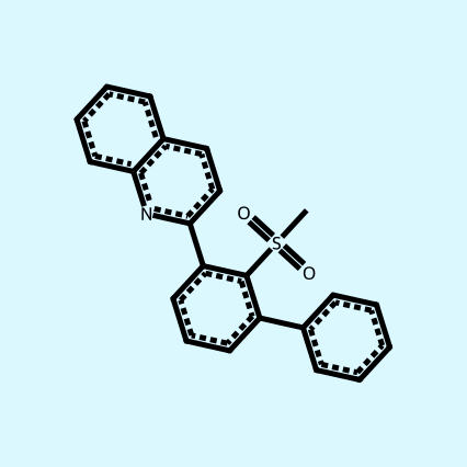 CS(=O)(=O)c1c(-c2ccccc2)cccc1-c1ccc2ccccc2n1